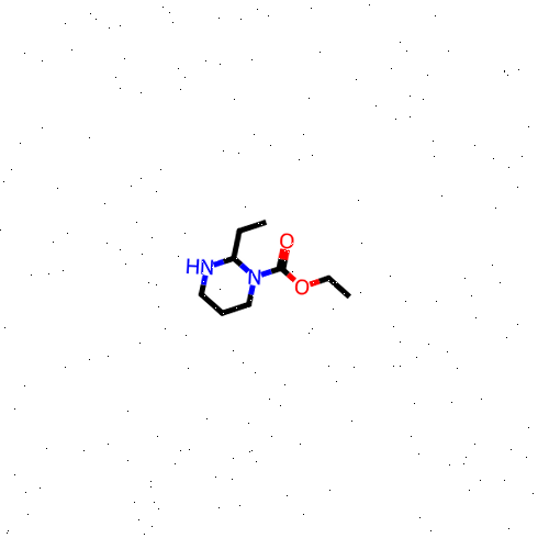 CCOC(=O)N1CCCNC1CC